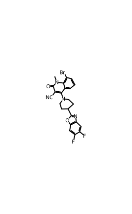 Cn1c(=O)c(C#N)c(N2CCC(c3nc4cc(F)c(F)cc4o3)CC2)c2cccc(Br)c21